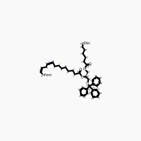 CCCCC/C=C\C/C=C\CCCCCCCC(=O)O[C@@H](COC(=O)CCCCCCCCCCCCCCC)COC(c1ccccc1)(c1ccccc1)c1ccccc1